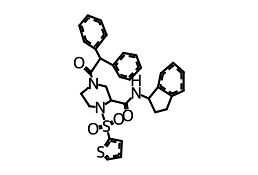 O=C(NC1CCc2ccccc21)C1CN(C(=O)C(c2ccccc2)c2ccccc2)CCN1S(=O)(=O)c1cccs1